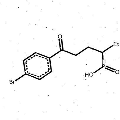 CCC(CCC(=O)c1ccc(Br)cc1)[PH](=O)O